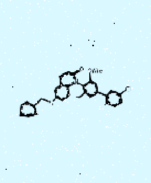 COc1cc(-c2cccc(Cl)c2)cc(F)c1-n1c(=O)ccc2cc(SCc3ccccc3)ccc21